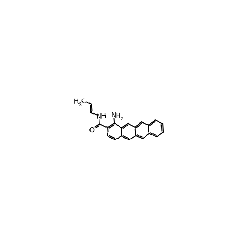 CC=CNC(=O)c1ccc2cc3cc4ccccc4cc3cc2c1N